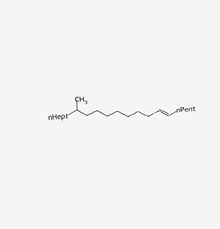 [CH2]CCCCC=CCCCCCCCC(C)CCCCCC[CH2]